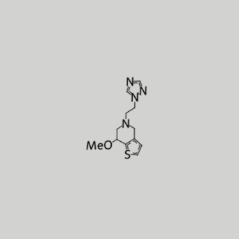 COC1CN(CCn2cncn2)Cc2ccsc21